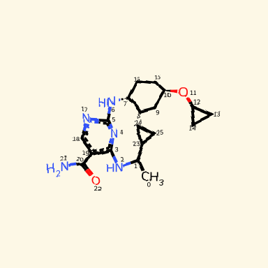 CC(Nc1nc(N[C@H]2CC[C@H](OC3CC3)CC2)ncc1C(N)=O)C1CC1